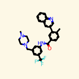 Cc1ccc(C(=O)Nc2cc(CN3CCN(C)CC3)cc(C(F)(F)F)c2)cc1-c1cnc2ccccc2c1